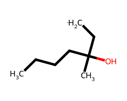 [CH2]CC(C)(O)CCCC